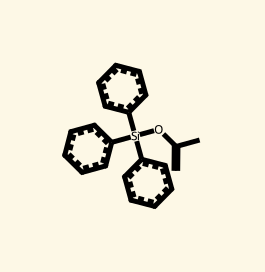 C=C(C)O[Si](c1ccccc1)(c1ccccc1)c1ccccc1